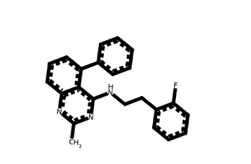 Cc1nc(NCCc2ccccc2F)c2c(-c3ccccc3)cccc2n1